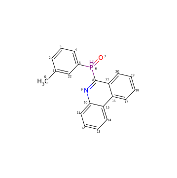 Cc1cccc([PH](=O)c2nc3ccccc3c3ccccc23)c1